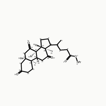 CCCOC(=O)CCC(C)C1CC[C@H]2[C@@H]3C(=O)C[C@@H]4CC(=O)CC[C@]4(C)[C@H]3CC(=O)[C@]12C